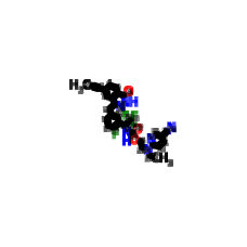 CC#Cc1ccc2c(=O)[nH]nc(Cc3ccc(F)c(C(NC(=O)OCCN(CC)c4ccc(C#N)cn4)C(F)(F)F)c3)c2c1